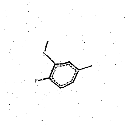 CSc1cc(C)ccc1F